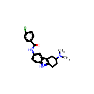 CN(C)C1CCc2[nH]c3ccc(NC(=O)c4ccc(Br)cc4)cc3c2C1